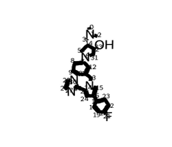 CN(C)C[C@H]1CN(c2ccc3c(c2)Cn2cc(-c4ccc(F)cc4)cc2-c2nccn2-3)C[C@@H]1O